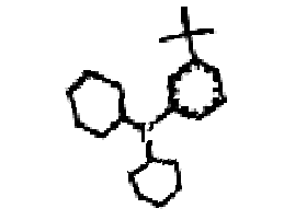 CC(C)(C)c1cccc(P(C2CCCCC2)C2CCCCC2)c1